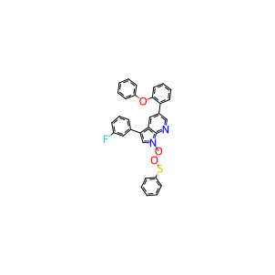 Fc1cccc(-c2cn(OOSc3ccccc3)c3ncc(-c4ccccc4Oc4ccccc4)cc23)c1